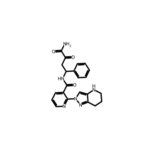 NC(=O)C(=O)CC(NC(=O)c1cccnc1-n1cc2c(n1)CCCN2)c1ccccc1